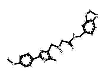 COc1ccc(-c2nc(C[S+]([O-])CC(=O)NCc3ccc4c(c3)OCO4)c(C)o2)cc1